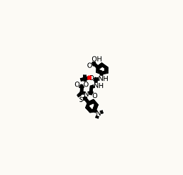 CN(C)c1ccc(C2SCC(C(=O)OC(C)(C)C)N2C(=O)CNC(=O)Nc2cccc(C(=O)O)c2)cc1